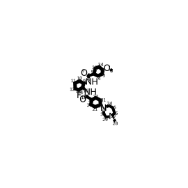 COc1ccc(C(=O)Nc2cccc(F)c2NC(=O)c2ccc(N3CCCN(C)CC3)cc2)cc1